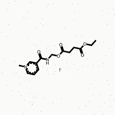 CCOC(=O)CCC(=O)OCNC(=O)c1ccc[n+](C)c1.[I-]